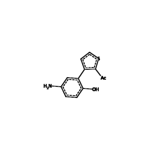 CC(=O)c1sccc1-c1cc(N)ccc1O